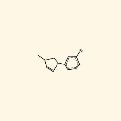 CN1C=CN(c2cccc(Br)c2)C1